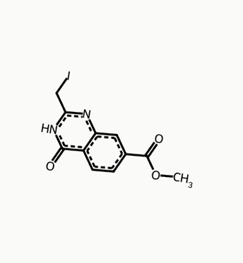 COC(=O)c1ccc2c(=O)[nH]c(CI)nc2c1